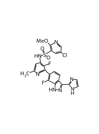 COc1ncc(Cl)cc1S(=O)(=O)Nc1cc(C)nc(-c2ccc3c(-c4ncc[nH]4)n[nH]c3c2F)c1F